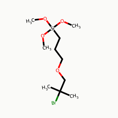 CO[Si](CCCOCC(C)(C)Br)(OC)OC